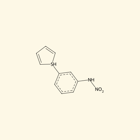 O=[N+]([O-])Nc1cccc([SH]2C=CC=C2)c1